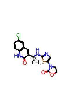 C[C@@H](Nc1ncc(N2CCOC2=O)s1)c1cc2cc(Cl)ccc2[nH]c1=O